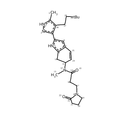 Cc1[nH]nc(-c2cc3c([nH]2)CC(N(C)C(=O)CCN2CCCC2=O)C=C3)c1CCC(C)(C)C